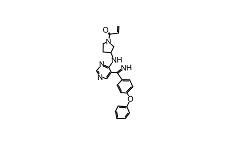 C=CC(=O)N1CCC(Nc2ncncc2C(=N)c2ccc(Oc3ccccc3)cc2)C1